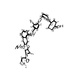 C=CC(=O)N1CC(Oc2cc3c(Nc4ccc(Oc5ccn(C6CCC(O)CC6)n5)c(F)c4)ncnc3cc2OC)C1